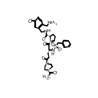 CC(=O)N1CCN(C(=O)CC[C@@H](NS(=O)(=O)Cc2ccccc2)C(=O)N2CCC[C@H]2C(=O)NCc2cc(Cl)ccc2CN)CC1